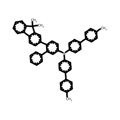 Cc1ccc(-c2ccc(N(c3ccc(-c4ccc(C)cc4)cc3)c3ccc(-c4ccc5c(c4)C(C)(C)c4ccccc4-5)c(-c4ccccc4)c3)cc2)cc1